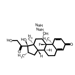 C[C@H]1C[C@H]2[C@@H]3CCC4=CC(=O)C=C[C@]4(C)[C@@]3(F)[C@@H](O)C[C@]2(C)[C@@]1(O)C(=O)CO.[NaH].[NaH]